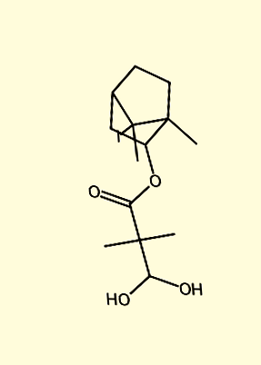 CC(C)(C(=O)OC1CC2CCC1(C)C2(C)I)C(O)O